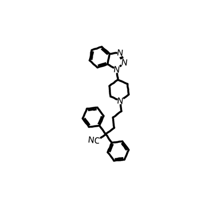 N#CC(CCCN1CCC(n2nnc3ccccc32)CC1)(c1ccccc1)c1ccccc1